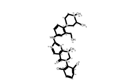 CC1CN(c2ccc(Nc3ncc4c(n3)N(C)CN(c3c(Cl)cccc3Cl)C4=O)cc2CO)CCN1C